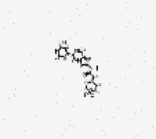 Cc1cc(-c2cn3cc(NC(=O)CC4CCC(F)(F)CC4)nc3cn2)ccn1